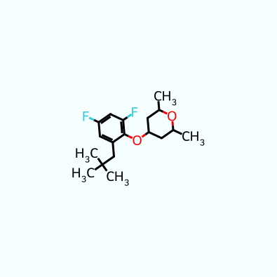 CC1CC(Oc2c(F)cc(F)cc2CC(C)(C)C)CC(C)O1